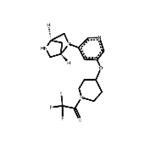 O=C(N1CCC(Oc2cncc(N3C[C@H]4C[C@H]3CN4)c2)CC1)C(F)(F)F